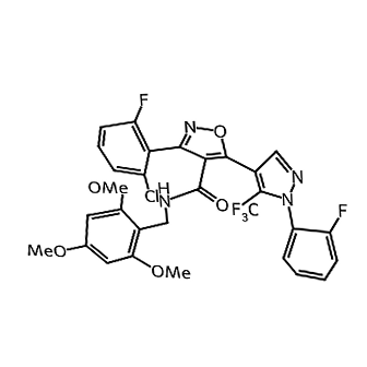 COc1cc(OC)c(CNC(=O)c2c(-c3c(F)cccc3Cl)noc2-c2cnn(-c3ccccc3F)c2C(F)(F)F)c(OC)c1